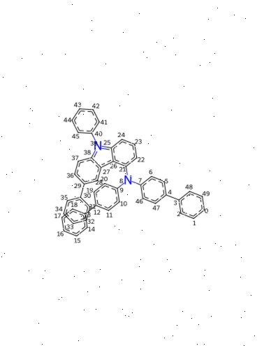 c1ccc(-c2ccc(N(c3ccc(-c4ccccc4)cc3)c3cccc4c3c3cc(-c5ccccc5)ccc3n4-c3ccccc3)cc2)cc1